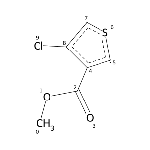 COC(=O)c1[c]scc1Cl